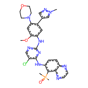 COc1cc(N2CCOCC2)c(-c2cnn(C)c2)cc1Nc1ncc(Cl)c(Nc2ccc3nccnc3c2P(C)(C)=O)n1